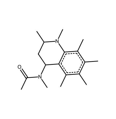 CC(=O)N(C)C1CC(C)N(C)c2c(C)c(C)c(C)c(C)c21